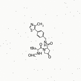 Cc1ncsc1-c1ccc(CNC(=O)C2CC(=O)CN2C(=O)C(NC=O)C(C)(C)C)cc1